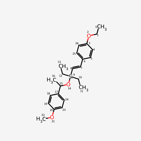 CCOc1ccc(C=C[Si](CC)(CC)OC(C)c2ccc(OC)cc2)cc1